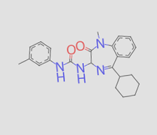 Cc1cccc(NC(=O)NC2N=C(C3CCCCC3)c3ccccc3N(C)C2=O)c1